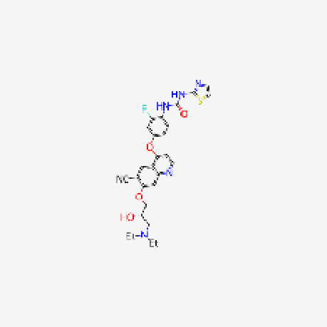 CCN(CC)C[C@H](O)COc1cc2nccc(Oc3ccc(NC(=O)Nc4nccs4)c(F)c3)c2cc1C#N